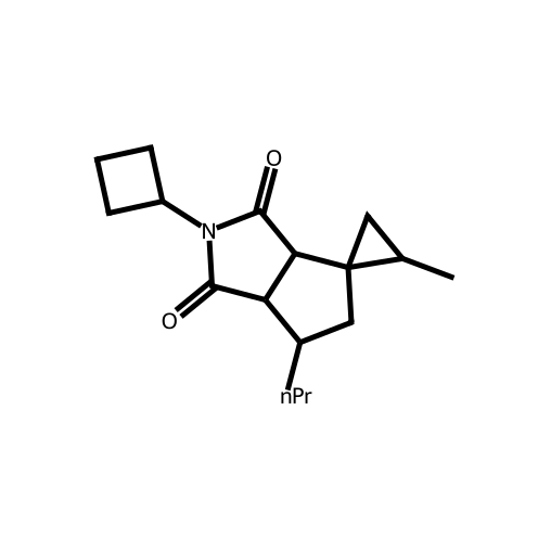 CCCC1CC2(CC2C)C2C(=O)N(C3CCC3)C(=O)C12